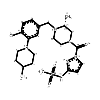 CC1CCN(c2cc(CN3CCN(C(=O)n4ccc(NS(C)(=O)=O)n4)C[C@H]3C)ccc2Cl)CC1